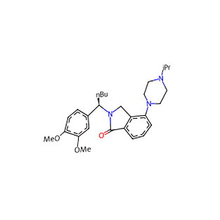 [CH2]CCC[C@H](c1ccc(OC)c(OC)c1)N1Cc2c(cccc2N2CCN(C(C)C)CC2)C1=O